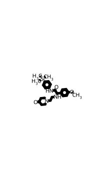 COc1ccc(C(NCCN2CCC(=O)CC2)C(=O)Nc2ccc([Si](C)(C)C)cc2)cc1